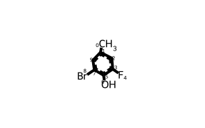 Cc1cc(F)c(O)c(Br)c1